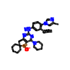 COc1cc(Nc2nc3c(c(N4CCCCC4)n2)[S+]([O-])C2(CCCCC2)C3)ccc1-n1cnc(C)c1